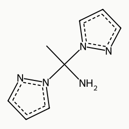 CC(N)(n1cccn1)n1cccn1